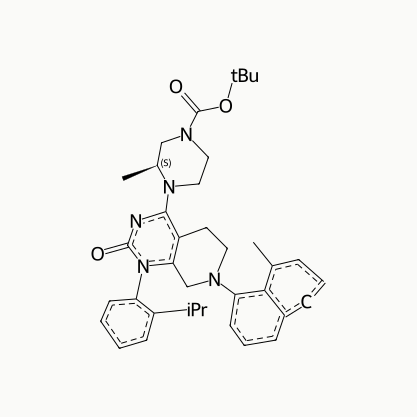 Cc1cccc2cccc(N3CCc4c(N5CCN(C(=O)OC(C)(C)C)C[C@@H]5C)nc(=O)n(-c5ccccc5C(C)C)c4C3)c12